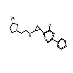 N[C@H]1CCN(CCNC2CC2c2ccc(-c3ccccc3)cc2C(F)(F)F)C1